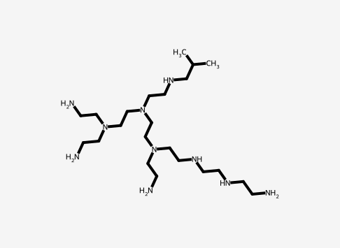 CC(C)CNCCN(CCN(CCN)CCN)CCN(CCN)CCNCCNCCN